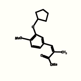 COC(=O)C(C)=Cc1ccc(OC)c(OC2CCCC2)c1